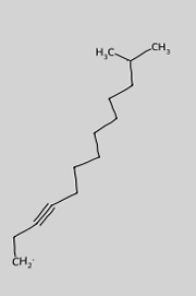 [CH2]CC#CCCCCCCC[C](C)C